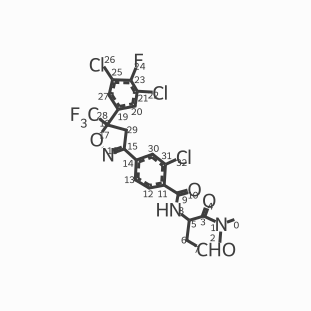 CN(C)C(=O)C(CC=O)NC(=O)c1ccc(C2=NOC(c3cc(Cl)c(F)c(Cl)c3)(C(F)(F)F)C2)cc1Cl